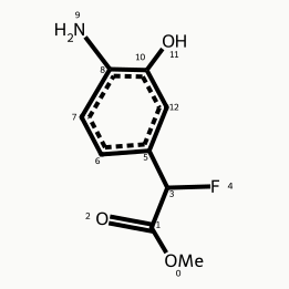 COC(=O)C(F)c1ccc(N)c(O)c1